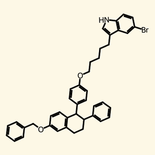 Brc1ccc2[nH]cc(CCCCCOc3ccc(C4c5ccc(OCc6ccccc6)cc5CCC4c4ccccc4)cc3)c2c1